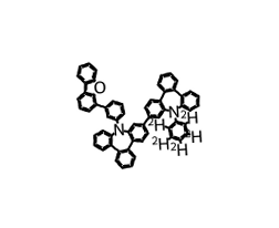 [2H]c1c([2H])c([2H])c(N2c3ccccc3-c3ccccc3-c3ccc(-c4ccc5c(c4)N(c4cccc(-c6cccc7c6oc6ccccc67)c4)c4ccccc4-c4ccccc4-5)cc32)c([2H])c1[2H]